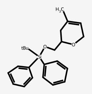 CC1=CCOC(CO[Si](c2ccccc2)(c2ccccc2)C(C)(C)C)C1